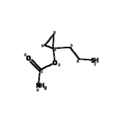 NC(=O)OC1(CCS)CC1